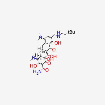 CN(C)c1cc(CNCCC(C)(C)C)c(O)c2c1C[C@H]1C[C@H]3[C@H](N(C)C)C(O)=C(C(N)=O)C(=O)[C@@]3(O)C(O)=C1C2=O